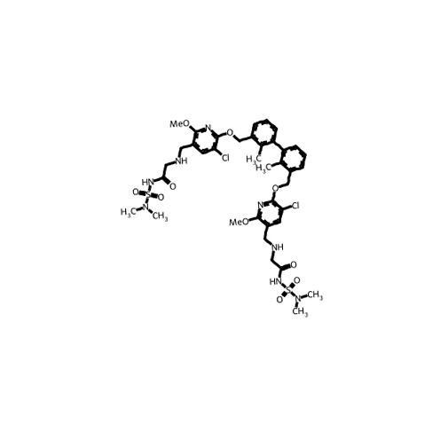 COc1nc(OCc2cccc(-c3cccc(COc4nc(OC)c(CNCC(=O)NS(=O)(=O)N(C)C)cc4Cl)c3C)c2C)c(Cl)cc1CNCC(=O)NS(=O)(=O)N(C)C